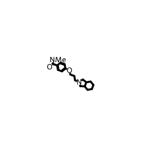 CNC(=O)c1ccc(OCCCN2CC3CCCCC3C2)cc1